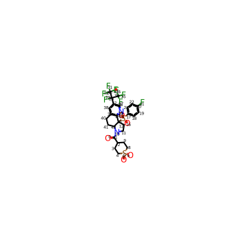 O=C(C1CCS(=O)(=O)CC1)N1CCC2(S(=O)(=O)c3ccc(F)cc3)c3ncc(C(F)(C(F)(F)F)C(F)(F)F)cc3CCC12